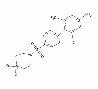 Nc1cc(Cl)c(-c2ccc(S(=O)(=O)N3CCS(=O)(=O)CC3)cc2)c(C(F)(F)F)c1